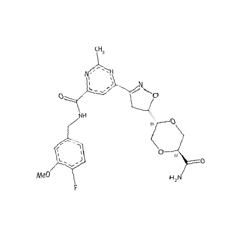 COc1cc(CNC(=O)c2cc(C3=NOC([C@H]4CO[C@H](C(N)=O)CO4)C3)nc(C)n2)ccc1F